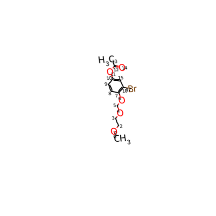 COCCOCOc1ccc(OC(C)=O)cc1Br